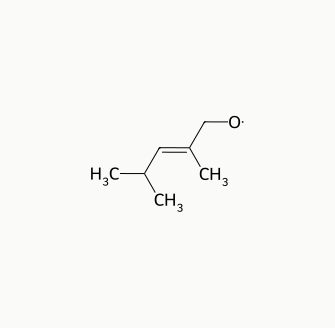 C/C(=C\C(C)C)C[O]